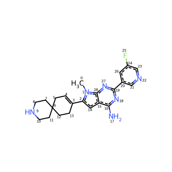 Cn1c(C2=CCC3(CCNCC3)CC2)cc2c(N)nc(-c3cncc(F)c3)nc21